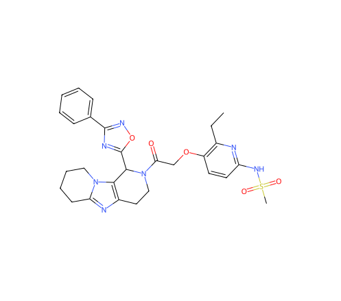 CCc1nc(NS(C)(=O)=O)ccc1OCC(=O)N1CCc2nc3n(c2C1c1nc(-c2ccccc2)no1)CCCC3